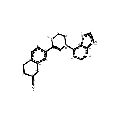 O=C1CCc2ccc(C3=CN(c4ncnc5[nH]cnc45)CCS3)cc2N1